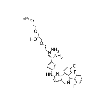 CCCOCCOCC(O)COCCN(N)/C=C(\N)c1ccc(Nc2ncc3c(n2)-c2ccc(Cl)cc2C(c2c(F)cccc2F)=NC3)cc1